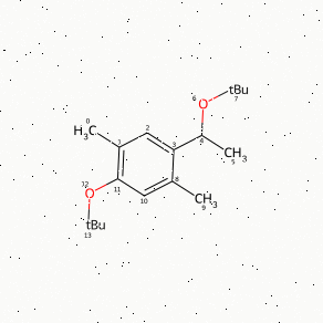 Cc1cc(C(C)OC(C)(C)C)c(C)cc1OC(C)(C)C